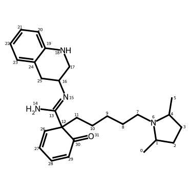 CC1CCC(C)N1CCCCCC1(C(N)=NC2CNc3ccccc3C2)C=CC=CC1=O